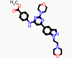 COC(=O)c1ccc(Nc2cc(-c3ccc4c(cnn4CCN4CCOCC4)c3)nc(N3CCOCC3)n2)cc1